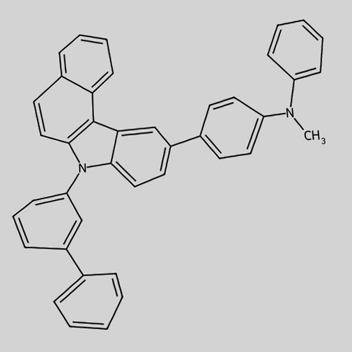 CN(c1ccccc1)c1ccc(-c2ccc3c(c2)c2c4ccccc4ccc2n3-c2cccc(-c3ccccc3)c2)cc1